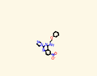 O=[N+]([O-])c1ccc2nc(-n3ccnc3)nc(NCCOc3ccccc3)c2c1